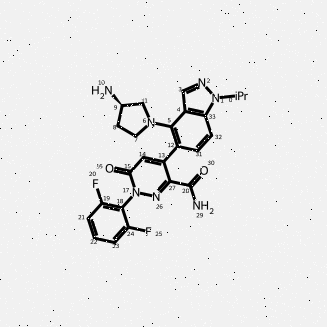 CC(C)n1ncc2c(N3CC[C@@H](N)C3)c(-c3cc(=O)n(-c4c(F)cccc4F)nc3C(N)=O)ccc21